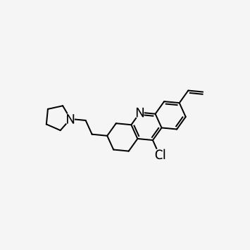 C=Cc1ccc2c(Cl)c3c(nc2c1)CC(CCN1CCCC1)CC3